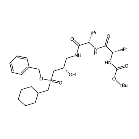 CC(C)[C@H](NC(=O)OC(C)(C)C)C(=O)N[C@H](C(=O)NC[C@H](O)CP(=O)(CC1CCCCC1)OCc1ccccc1)C(C)C